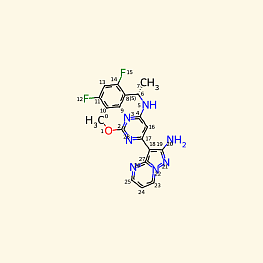 COc1nc(N[C@@H](C)c2ccc(F)cc2F)cc(-c2c(N)nn3cccnc23)n1